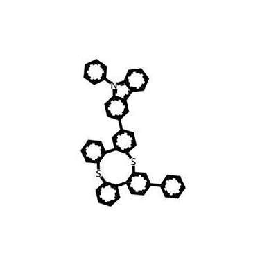 c1ccc(-c2ccc3c(c2)Sc2ccc(-c4ccc5c(c4)c4ccccc4n5-c4ccccc4)cc2-c2ccccc2Sc2ccccc2-3)cc1